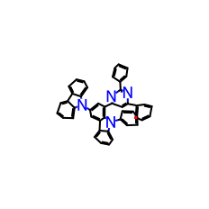 c1ccc(-c2cc(-c3cc(-n4c5ccccc5c5ccccc54)cc4c5ccccc5n(-c5ccccc5)c34)nc(-c3ccccc3)n2)cc1